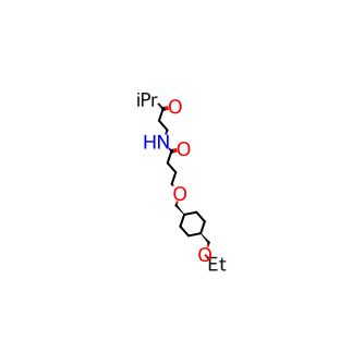 CCOC[C@H]1CC[C@@H](COCCCC(=O)NCCC(=O)C(C)C)CC1